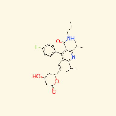 CCCNC(=O)c1c(C(C)C)nc(C(C)C)c(/C=C/[C@H]2C[C@H](O)CC(=O)O2)c1-c1ccc(F)cc1